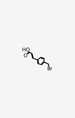 O=C(O)C=Cc1ccc(CBr)cc1